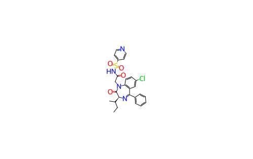 CCC(C)[C@@H]1N=C(c2ccccc2)c2cc(Cl)ccc2N(CC(=O)NS(=O)(=O)c2ccncc2)C1=O